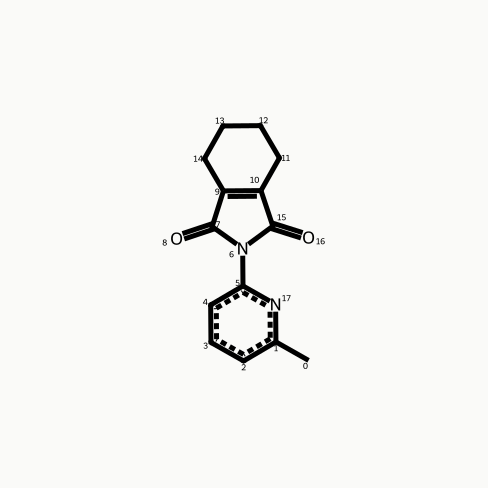 Cc1cccc(N2C(=O)C3=C(CCCC3)C2=O)n1